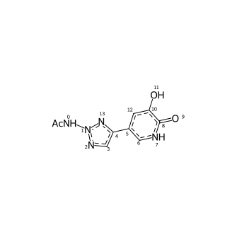 CC(=O)Nn1ncc(-c2c[nH]c(=O)c(O)c2)n1